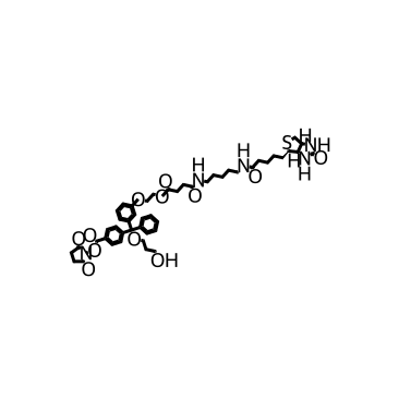 O=C(CCCC[C@H]1SC[C@H]2NC(=O)N[C@H]21)NCCCCCNC(=O)CCC(=O)OCCOc1cccc(C(OCCCO)(c2ccccc2)c2ccc(C(=O)ON3C(=O)CCC3=O)cc2)c1